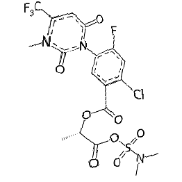 C[C@H](OC(=O)c1cc(-n2c(=O)cc(C(F)(F)F)n(C)c2=O)c(F)cc1Cl)C(=O)OS(=O)(=O)N(C)C